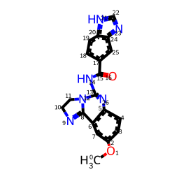 COc1ccc2c(c1)C1=NCCN1C(NC(=O)c1ccc3[nH]cnc3c1)=N2